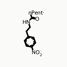 [CH2]CCC[CH]C(=O)NCCc1ccc([N+](=O)[O-])cc1